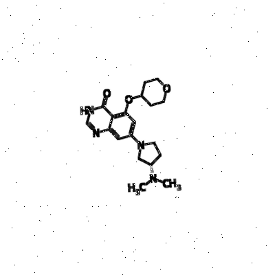 CN(C)[C@H]1CCN(c2cc(OC3CCOCC3)c3c(=O)[nH]cnc3c2)C1